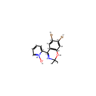 CC1(C)N=C(c2cccc[n+]2[O-])c2cc(Br)c(Br)cc2O1